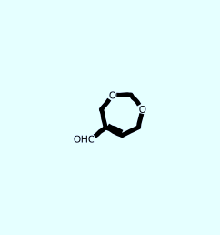 O=CC1=CCOCOC1